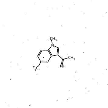 CC(=N)c1cn(C)c2ccc(C(F)(F)F)cc12